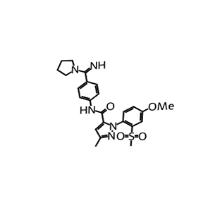 COc1ccc(-n2nc(C)cc2C(=O)Nc2ccc(C(=N)N3CCCC3)cc2)c(S(C)(=O)=O)c1